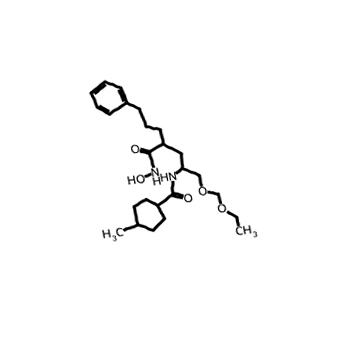 CCOCOCC(CC(CCCc1ccccc1)C(=O)NO)NC(=O)C1CCC(C)CC1